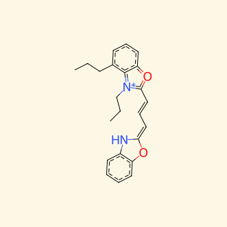 CCCc1cccc2oc(C=CC=C3Nc4ccccc4O3)[n+](CCC)c12